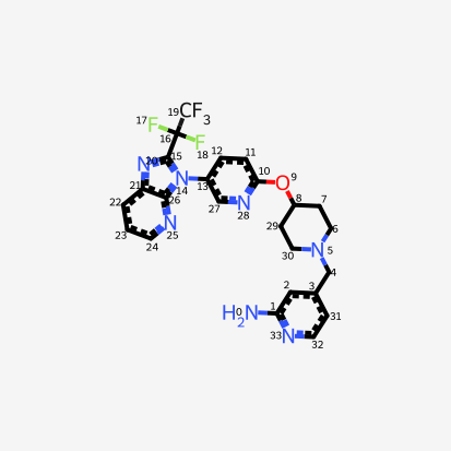 Nc1cc(CN2CCC(Oc3ccc(-n4c(C(F)(F)C(F)(F)F)nc5cccnc54)cn3)CC2)ccn1